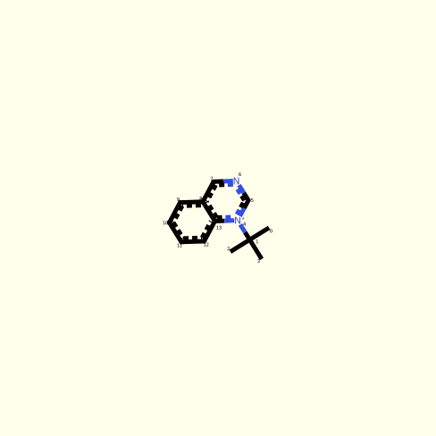 CC(C)(C)[n+]1cncc2ccccc21